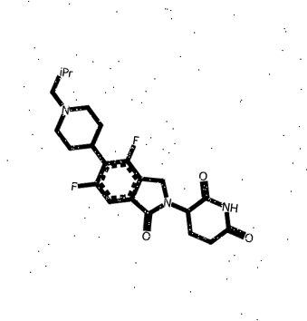 CC(C)CN1CCC(c2c(F)cc3c(c2F)CN(C2CCC(=O)NC2=O)C3=O)CC1